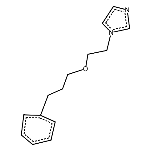 c1ccc(CCCOCCn2ccnc2)cc1